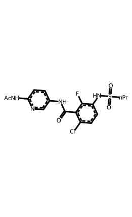 CCCS(=O)(=O)Nc1ccc(Cl)c(C(=O)Nc2ccc(NC(C)=O)nc2)c1F